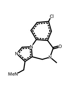 CNCc1ncn2c1CN(C)C(=O)c1cc(Cl)ccc1-2